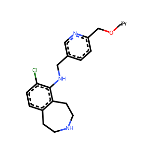 CC(C)OCc1ccc(CNc2c(Cl)ccc3c2CCNCC3)cn1